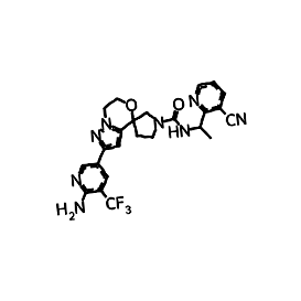 CC(NC(=O)N1CCC2(C1)OCCn1nc(-c3cnc(N)c(C(F)(F)F)c3)cc12)c1ncccc1C#N